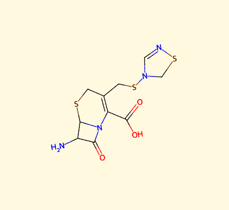 NC1C(=O)N2C(C(=O)O)=C(CSN3C=NSC3)CSC12